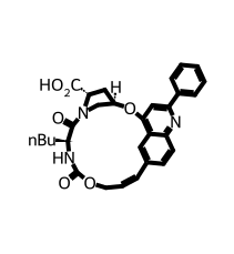 CCCC[C@@H]1NC(=O)OC/C=C\c2ccc3nc(-c4ccccc4)cc(c3c2)O[C@@H]2C[C@@H](C(=O)O)N(C2)C1=O